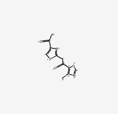 CC(=O)c1csc(CC(=O)c2ocnc2C)n1